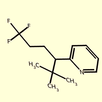 CC(C)(C)C(CCC(F)(F)F)c1ccccn1